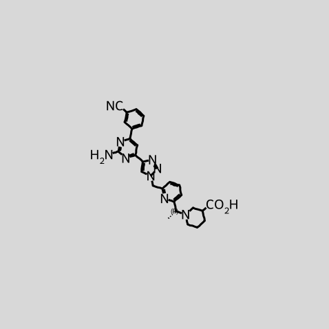 C[C@H](c1cccc(Cn2cc(-c3cc(-c4cccc(C#N)c4)nc(N)n3)nn2)n1)N1CCCC(C(=O)O)C1